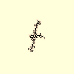 CC(=O)c1cc2c(OC(=O)OCCCCNCC(=O)O)c3ccccc3c(OC(=O)OCCCCNCC(=O)O)c2o1